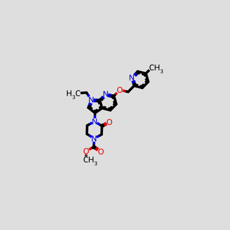 CCn1cc(N2CCN(C(=O)OC)CC2=O)c2ccc(OCc3ccc(C)cn3)nc21